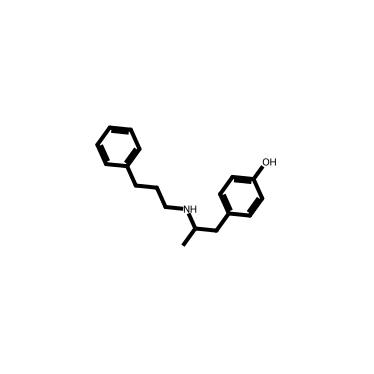 CC(Cc1ccc(O)cc1)NCCCc1ccccc1